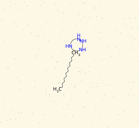 C1CNCCCNNCCNC1.CCCCCCCCCCCCCCC